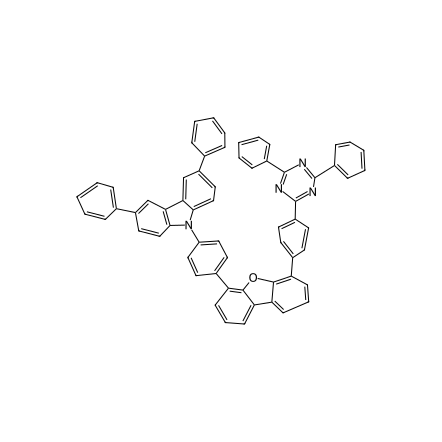 c1ccc(-c2ccc3c(c2)c2cc(-c4ccccc4)ccc2n3-c2ccc(-c3cccc4c3oc3c(-c5ccc(-c6nc(-c7ccccc7)nc(-c7ccccc7)n6)cc5)cccc34)cc2)cc1